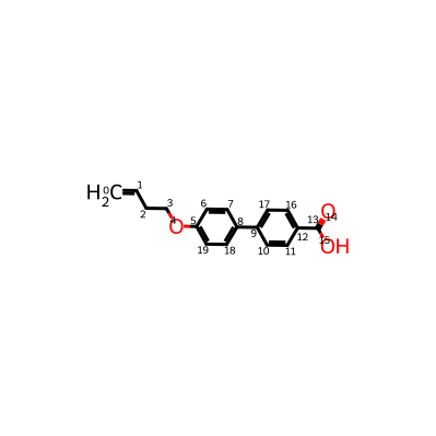 C=CCCOc1ccc(-c2ccc(C(=O)O)cc2)cc1